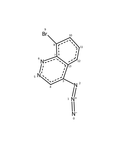 [N-]=[N+]=Nc1cnnc2c(Br)cccc12